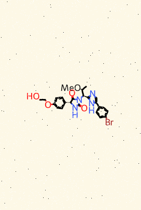 CO[C@H](C)[C@@H](c1ncc(-c2ccc(Br)cc2)[nH]1)N1C(=O)N[C@H](c2ccc(OCCO)cc2)C1=O